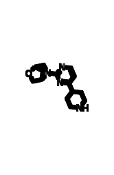 c1cc(C2CCNCC2)nc(N2CC3CC2CO3)n1